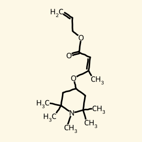 C=CCOC(=O)/C=C(/C)OC1CC(C)(C)N(C)C(C)(C)C1